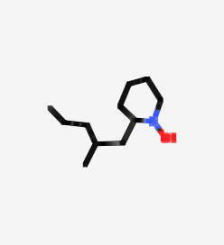 CCCC(C)CC1CCCCN1O